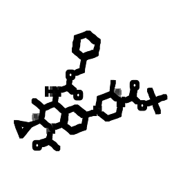 CC(=O)N1c2ccc(N3CCN(C(=O)OC(C)(C)C)[C@H](C)C3)cc2C(NC(=O)OCc2ccccc2)C(C)[C@@H]1C1CC1